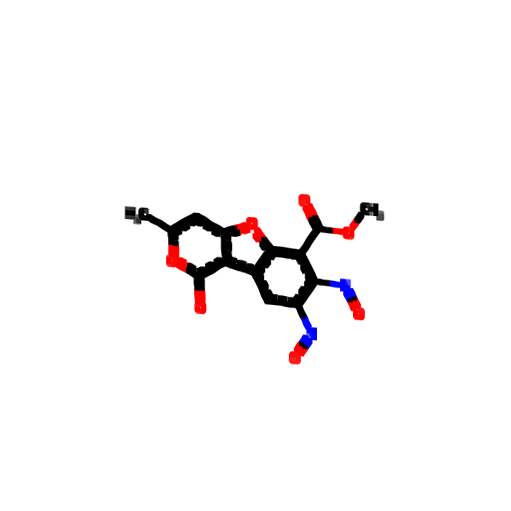 COC(=O)c1c(N=O)c(N=O)cc2c1oc1cc(C)oc(=O)c12